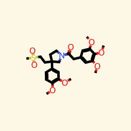 COc1ccc(C2(CCS(C)(=O)=O)CCN(C(=O)Cc3cc(OC)c(OC)c(OC)c3)C2)cc1OC